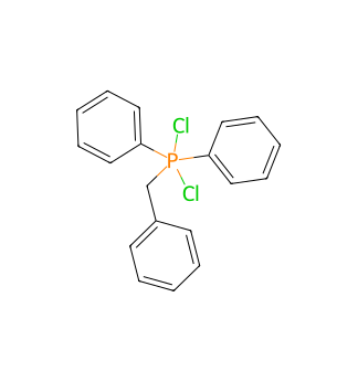 ClP(Cl)(Cc1ccccc1)(c1ccccc1)c1ccccc1